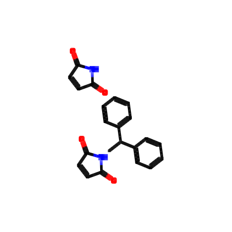 CC(c1ccccc1)c1ccccc1.O=C1C=CC(=O)N1.O=C1C=CC(=O)N1